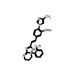 COc1cc(/C=C/C2=NC3=NCCC[N+]3(c3ccccc3[N+](=O)[O-])N2)ccc1-n1cnc(C)c1